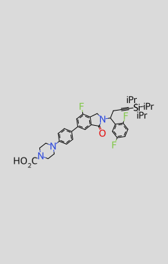 CC(C)[Si](C#CCC(c1cc(F)ccc1F)N1Cc2c(F)cc(-c3ccc(N4CCN(C(=O)O)CC4)cc3)cc2C1=O)(C(C)C)C(C)C